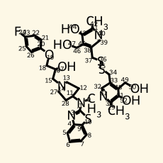 CN(c1nc2ccccc2s1)C1CCN(CC(O)COc2ccc(F)cc2)CC1.Cc1ncc(CSSCc2cnc(C)c(O)c2CO)c(CO)c1O